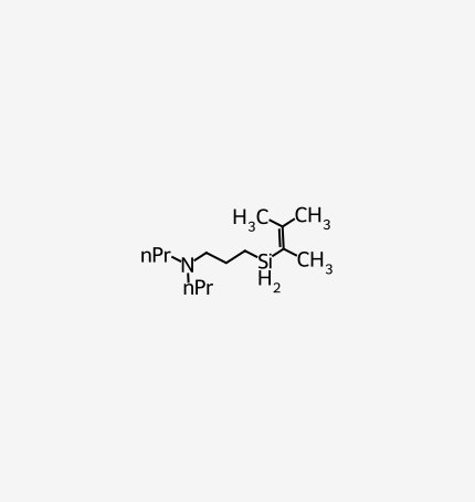 CCCN(CCC)CCC[SiH2]C(C)=C(C)C